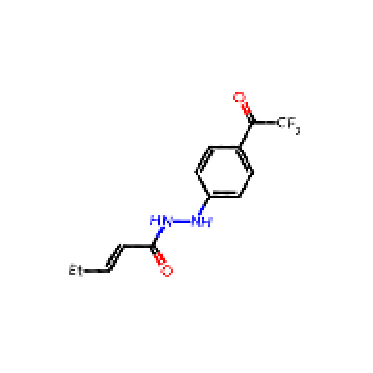 CC/C=C/C(=O)NNc1ccc(C(=O)C(F)(F)F)cc1